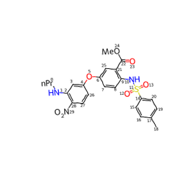 CCCNc1cc(Oc2ccc(NS(=O)(=O)c3ccc(C)cc3)c(C(=O)OC)c2)ccc1[N+](=O)[O-]